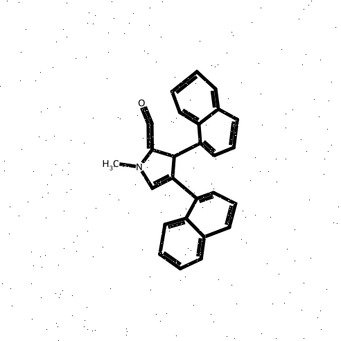 CN1C=C(c2cccc3ccccc23)C(c2cccc3ccccc23)C1=C=O